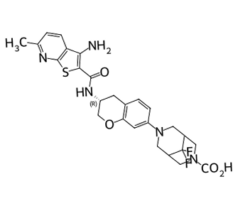 Cc1ccc2c(N)c(C(=O)N[C@H]3COc4cc(N5CC6CN(C(=O)O)CC(C5)C6(F)F)ccc4C3)sc2n1